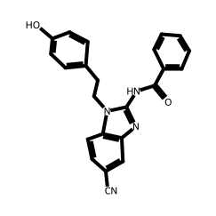 N#Cc1ccc2c(c1)nc(NC(=O)c1ccccc1)n2CCc1ccc(O)cc1